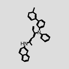 C=C/C(=C\C=C(/C)Nc1ccc2ccccc2c1)N(c1ccccc1)c1cccc(C2=CC(C)CC=C2)c1